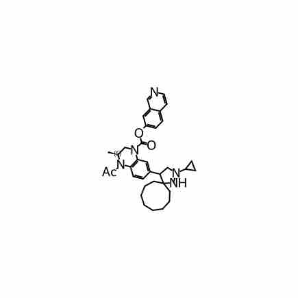 CC(=O)N1c2ccc(C3CN(C4CC4)NC34CCCCCCCC4)cc2N(C(=O)Oc2ccc3ccncc3c2)C[C@@H]1C